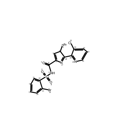 CCCC1C=C(C(=O)NS(=O)(=O)c2ccccc2Br)N=C1c1ncccc1Cl